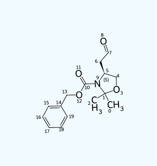 CC1(C)OC[C@H](CC=O)N1C(=O)OCc1ccccc1